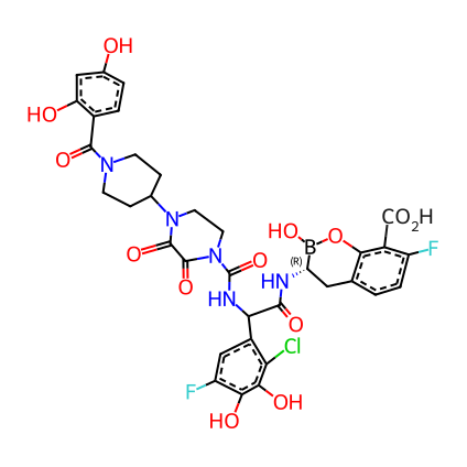 O=C(O)c1c(F)ccc2c1OB(O)[C@@H](NC(=O)C(NC(=O)N1CCN(C3CCN(C(=O)c4ccc(O)cc4O)CC3)C(=O)C1=O)c1cc(F)c(O)c(O)c1Cl)C2